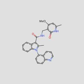 COc1cc(C)[nH]c(=O)c1CNC(=O)c1c(C)n(-c2cccc3ncccc23)c2ccccc12